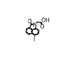 O=C(O)CN1C(=O)c2cccc3c(I)ccc1c23